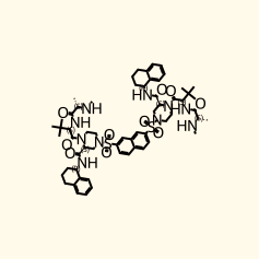 CN[C@@H](C)C(=O)N[C@H](C(=O)N1CCN(S(=O)(=O)c2ccc3ccc(S(=O)(=O)N4CCN(C(=O)[C@@H](NC(=O)[C@H](C)NC)C(C)(C)C)[C@H](C(=O)N[C@@H]5CCCc6ccccc65)C4)cc3c2)C[C@H]1C(=O)N[C@@H]1CCCc2ccccc21)C(C)(C)C